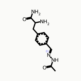 CC(=O)N/N=C/c1ccc(CC(N)C(N)=O)cc1